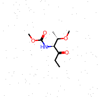 CCC(=O)[C@@H](NC(=O)OC)[C@H](C)OC